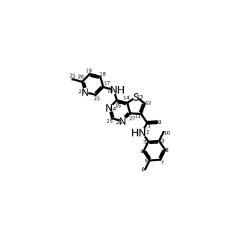 C=C(Nc1cc(C)ccc1C)c1csc2c(Nc3ccc(C)nc3)ncnc12